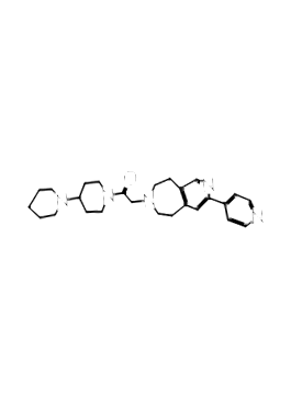 O=C(CN1CCc2cnc(-c3ccncc3)cc2CC1)N1CCC(N2CCCCC2)CC1